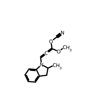 COC(=C=CN1c2ccccc2CC1C)OC#N